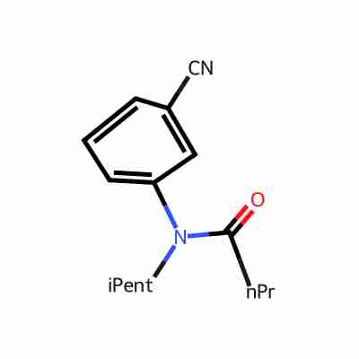 CCCC(=O)N(c1cccc(C#N)c1)C(C)CCC